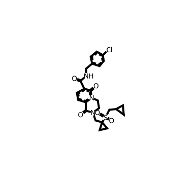 O=C(NCc1ccc(Cl)cc1)c1ccc2n(c1=O)CCN(CC1(S(=O)(=O)CC3CC3)CC1)C2=O